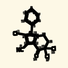 N#Cc1c(Cl)c(-c2cccnc2)n2c1C(=O)C(Cl)(Cl)CC2